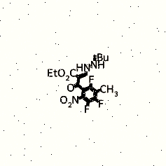 CCOC(=O)C(=CNNC(C)(C)C)C(=O)c1c(F)c(C)c(F)c(F)c1[N+](=O)[O-]